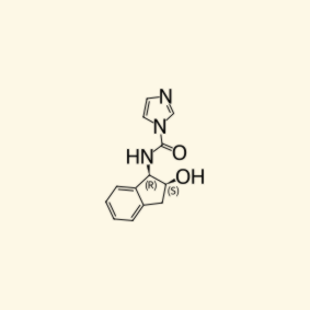 O=C(N[C@@H]1c2ccccc2C[C@@H]1O)n1ccnc1